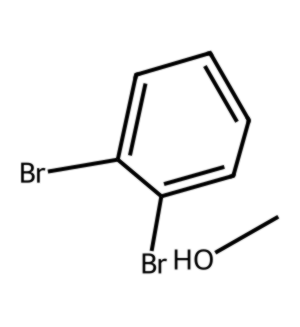 Brc1ccccc1Br.CO